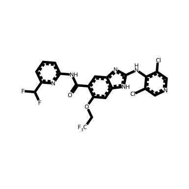 O=C(Nc1cccc(C(F)F)n1)c1cc2nc(Nc3c(Cl)cncc3Cl)[nH]c2cc1OCC(F)(F)F